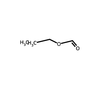 CCOC=O.[CH3]